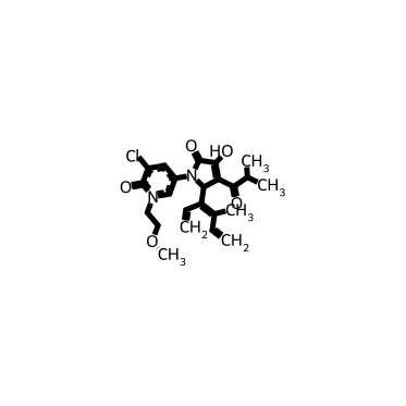 C=C/C(C)=C(\C=C)C1C(C(=O)C(C)C)=C(O)C(=O)N1c1cc(Cl)c(=O)n(CCOC)c1